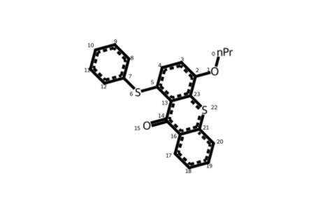 CCCOc1ccc(Sc2ccccc2)c2c(=O)c3ccccc3sc12